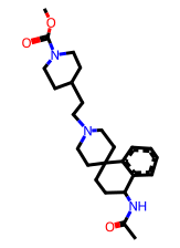 COC(=O)N1CCC(CCN2CCC3(CCC(NC(C)=O)c4ccccc43)CC2)CC1